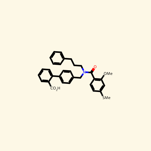 COc1cc(SC)ccc1C(=O)N(CCCc1ccccc1)Cc1ccc(-c2ccccc2C(=O)O)cc1